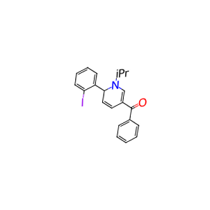 CC(C)N1C=C(C(=O)c2ccccc2)C=CC1c1ccccc1I